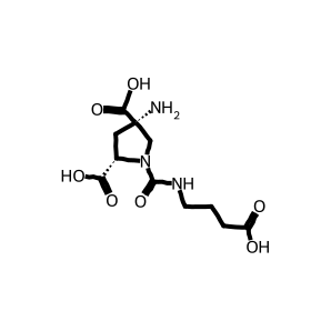 N[C@@]1(C(=O)O)C[C@@H](C(=O)O)N(C(=O)NCCCC(=O)O)C1